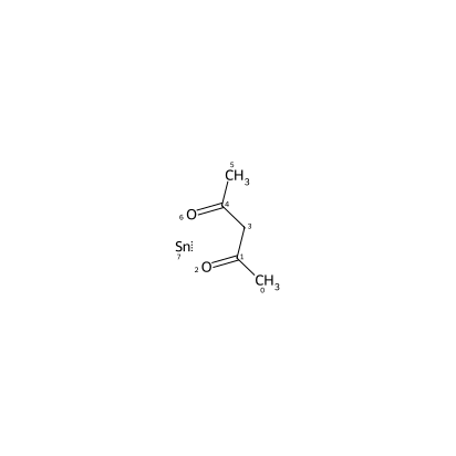 CC(=O)CC(C)=O.[Sn]